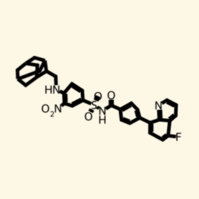 O=C(NS(=O)(=O)c1ccc(NCC2C3CC4CC(C3)CC2C4)c([N+](=O)[O-])c1)c1ccc(-c2ccc(F)c3cccnc23)cc1